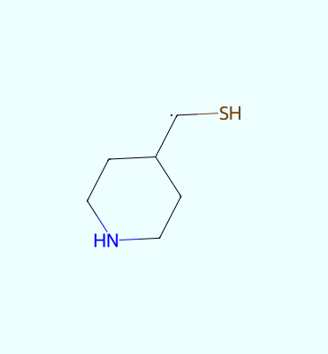 S[CH]C1CCNCC1